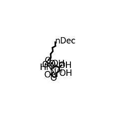 CCCCCCCCCCCCCCCCOS(=O)(=O)N[C@@H]1[C@H](O)C(O)[C@H](O)C2COC(=O)N21